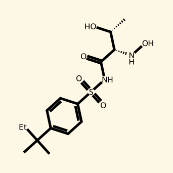 CCC(C)(C)c1ccc(S(=O)(=O)NC(=O)[C@@H](NO)[C@@H](C)O)cc1